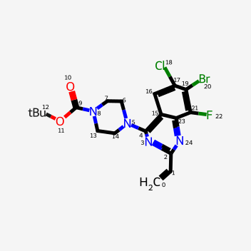 C=Cc1nc(N2CCN(C(=O)OC(C)(C)C)CC2)c2cc(Cl)c(Br)c(F)c2n1